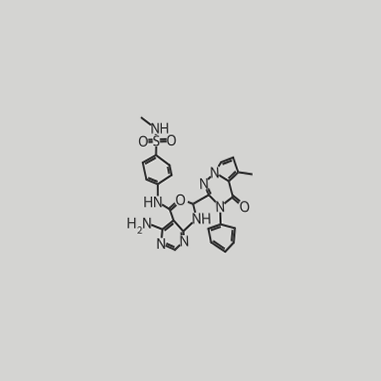 CNS(=O)(=O)c1ccc(NC(=O)c2c(N)ncnc2NC(C)c2nn3ccc(C)c3c(=O)n2-c2ccccc2)cc1